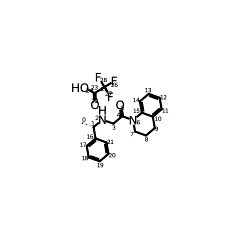 C[C@H](NCC(=O)N1CCCc2ccccc21)c1ccccc1.O=C(O)C(F)(F)F